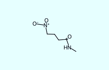 CNC(=O)CCC[N+](=O)[O-]